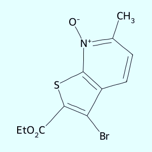 CCOC(=O)c1sc2c(ccc(C)[n+]2[O-])c1Br